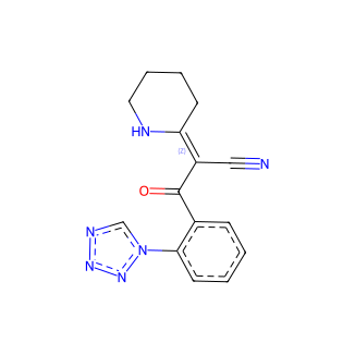 N#C/C(C(=O)c1ccccc1-n1cnnn1)=C1\CCCCN1